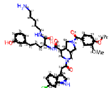 COc1cc(C(=O)N2CC3CN(C(=O)Cc4c[nH]c5cc(Cl)ccc45)CC(C(=O)N[C@@H](CCCc4cccc(O)c4)C(O)NCCCCCN)C3C2)ccc1OC(C)C